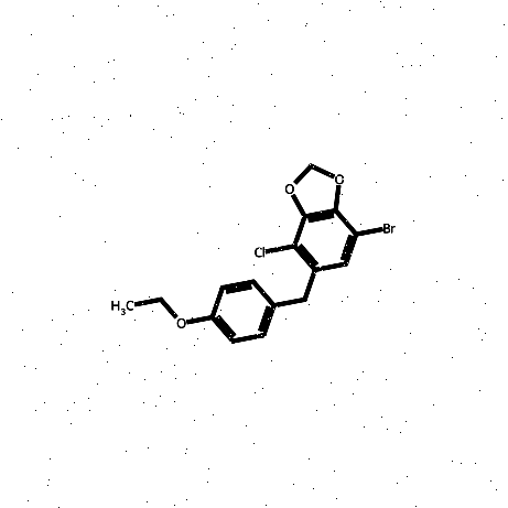 CCOc1ccc(Cc2cc(Br)c3c(c2Cl)OCO3)cc1